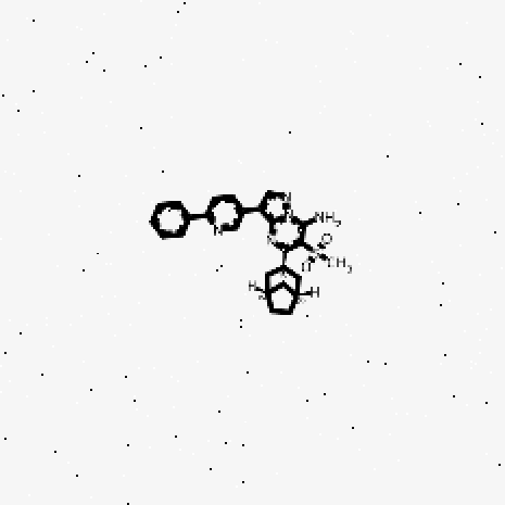 CS(=O)(=O)c1c([C@H]2C[C@@H]3CC[C@@H](C3)C2)nc2c(-c3ccc(-c4ccccc4)nc3)cnn2c1N